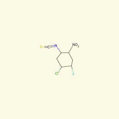 O=[N+]([O-])C1CC(F)C(Cl)CC1N=C=S